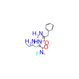 CCC(N)C[C@H](NC(=O)[C@@H](N)Cc1ccccc1)C(=O)N(C)F